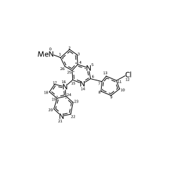 CNc1ccc2nc(-c3cccc(Cl)c3)nc(-n3ccc4cnccc43)c2c1